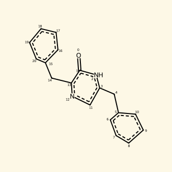 O=c1[nH]c(Cc2ccccc2)cnc1Cc1ccccc1